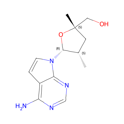 C[C@H]1C[C@@](C)(CO)O[C@H]1n1ccc2c(N)ncnc21